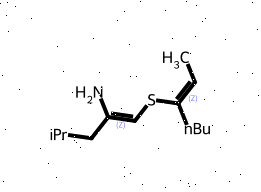 C/C=C(/CCCC)S/C=C(\N)CC(C)C